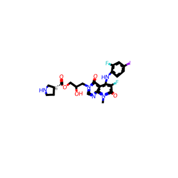 Cn1c(=O)c(F)c(Nc2ccc(I)cc2F)c2c(=O)n(CC(O)COC(=O)[C@@H]3CCNC3)cnc21